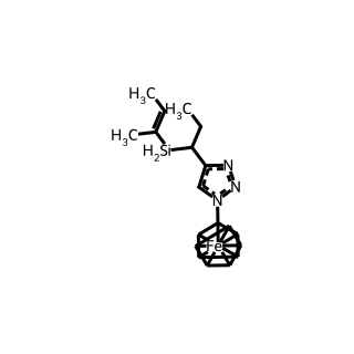 CC=C(C)[SiH2]C(CC)c1cn([C]23[CH]4[CH]5[CH]6[CH]2[Fe]56432789[CH]3[CH]2[CH]7[CH]8[CH]39)nn1